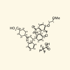 COCCOc1ccc(C(N)=O)c(-c2cc(C(CNC3CCC(C(=O)O)CC3)c3ccccc3)ccc2Cl)c1F.O=C(O)C(F)(F)F